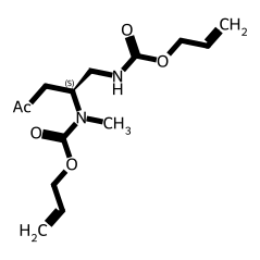 C=CCOC(=O)NC[C@H](CC(C)=O)N(C)C(=O)OCC=C